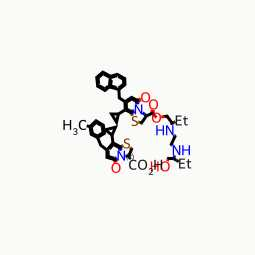 CCC(CO)NCCNC(CC)COC(=O)C1CSc2c(C3CC3)c(Cc3cccc4ccccc34)cc(=O)n21.Cc1cccc(Cc2cc(=O)n3c(c2C2CC2)SC[C@H]3C(=O)O)c1